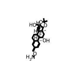 CC1(C)O[C@@H]2C[C@H]3[C@@H]4CCC5=C/C(=C/ON)C=C[C@]5(C)[C@@]4(F)[C@@H](O)C[C@]3(C)[C@]2(C(=O)CO)O1